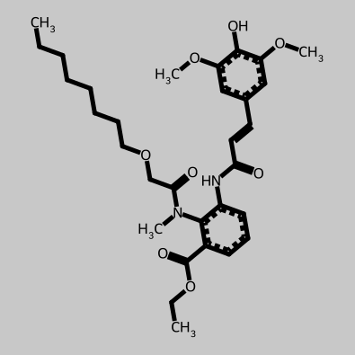 CCCCCCCCOCC(=O)N(C)c1c(NC(=O)/C=C/c2cc(OC)c(O)c(OC)c2)cccc1C(=O)OCC